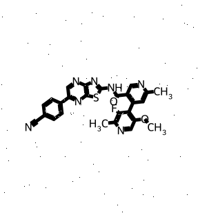 COc1cnc(C)c(F)c1-c1cc(C)ncc1C(=O)Nc1nc2ncc(-c3ccc(C#N)cc3)nc2s1